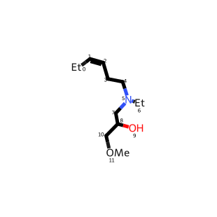 CC/C=C\CCN(CC)CC(O)COC